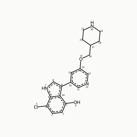 Oc1ccc(Cl)c2[nH]cc(-c3cncc(OCC4CCNCC4)c3)c12